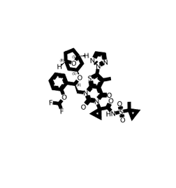 Cc1c(-n2nccn2)sc2c1c(=O)n(C1(C(=O)NS(=O)(=O)C3(C)CC3)CC1)c(=O)n2C[C@H](O[C@@H]1C[C@H]2CC[C@@H](C1)O2)c1ccccc1OC(F)F